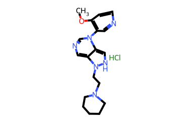 COc1ccncc1N1C=NC=C2C1=CNN2CCN1CCCCC1.Cl